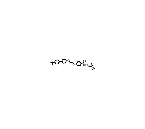 COC(=O)CCNC(=O)c1ccc(CCCOc2ccc(-c3ccc(C(C)(C)C)cc3)cc2)cc1